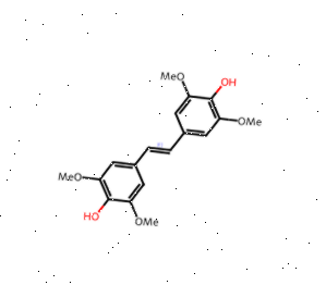 COc1cc(/C=C/c2cc(OC)c(O)c(OC)c2)cc(OC)c1O